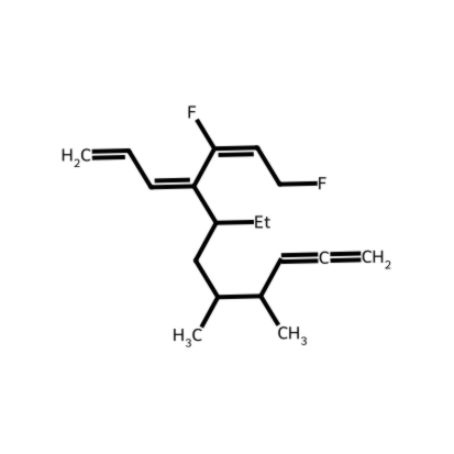 C=C=CC(C)C(C)CC(CC)C(=C/C=C)/C(F)=C\CF